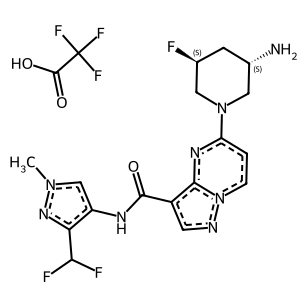 Cn1cc(NC(=O)c2cnn3ccc(N4C[C@@H](N)C[C@H](F)C4)nc23)c(C(F)F)n1.O=C(O)C(F)(F)F